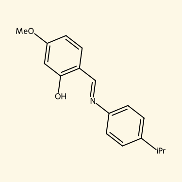 COc1ccc(/C=N/c2ccc(C(C)C)cc2)c(O)c1